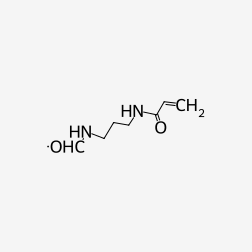 C=CC(=O)NCCCN[C]=O